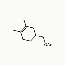 CC(=O)OC[C@@H]1CCC(C)=C(C)C1